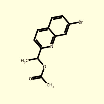 CC(=O)OC(C)c1ccc2ccc(Br)cc2n1